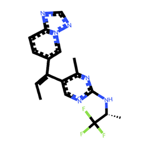 C/C=C(/c1ccc2ncnn2c1)c1cnc(N[C@H](C)C(F)(F)F)nc1C